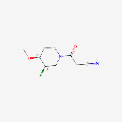 CO[C@H]1CCN(C(=O)CC#N)C[C@H]1F